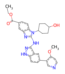 CCOC(=O)c1ccc2c(c1)nc(Nc1n[nH]c3ccc(-c4cnccc4OC)cc13)n2C1CCC(O)CC1